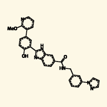 COc1ncccc1-c1ccc(O)c(-c2nc3ccc(C(=O)NCc4cccc(-n5cccn5)c4)cc3[nH]2)c1